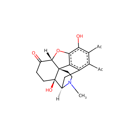 CC(=O)c1c(O)c2c3c(c1C(C)=O)C[C@H]1N(C)CC[C@@]34[C@@H](O2)C(=O)CC[C@@]14O